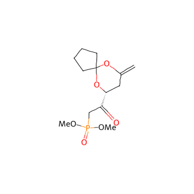 C=C1C[C@H](C(=O)CP(=O)(OC)OC)OC2(CCCC2)O1